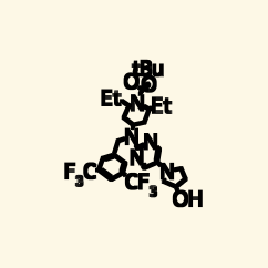 CCC1CC(N(Cc2cc(C(F)(F)F)cc(C(F)(F)F)c2)c2ncc(N3CCC(O)C3)cn2)CC(CC)N1C(=O)OC(C)(C)C